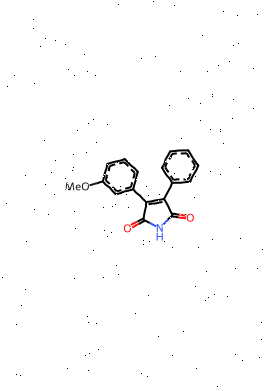 COc1cccc(C2=C(c3ccccc3)C(=O)NC2=O)c1